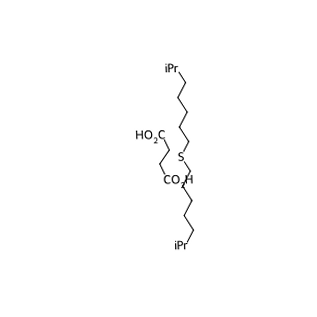 CC(C)CCCCCSCCCCCC(C)C.O=C(O)CCC(=O)O